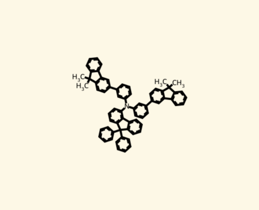 CC1(C)c2ccccc2-c2cc(-c3cccc(N(c4cccc(-c5ccc6c(c5)-c5ccccc5C6(C)C)c4)c4cccc5c4-c4ccccc4C5(c4ccccc4)c4ccccc4)c3)ccc21